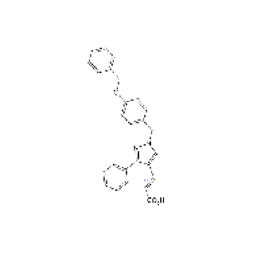 O=C(O)/C=C/c1cn(Cc2ccc(OCc3ccccc3)cc2)nc1-c1ccccc1